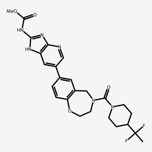 COC(=O)Nc1nc2ncc(-c3ccc4c(c3)CN(C(=O)N3CCC(C(C)(F)F)CC3)CCO4)cc2[nH]1